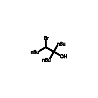 CCCCC(Br)C(O)(CCCC)CCCC